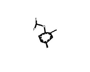 Cc1ccc(OC(F)F)c(C)c1